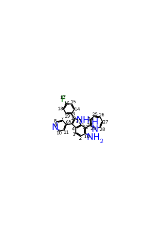 Nc1ccc2c(-c3ccncc3)c(-c3ccc(F)cc3)[nH]c2c1C1=CC=CC=CN1